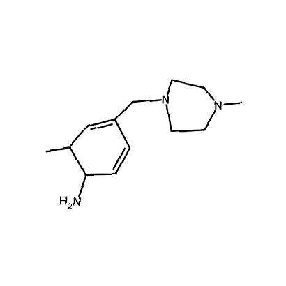 CC1C=C(CN2CCN(C)CC2)C=CC1N